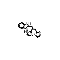 c1ccc2[nH]c(C[C](Cc3ncco3)c3ncc[nH]3)nc2c1